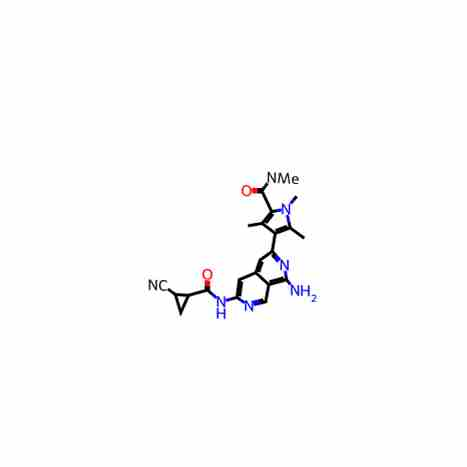 CNC(=O)c1c(C)c(-c2cc3cc(NC(=O)C4CC4C#N)ncc3c(N)n2)c(C)n1C